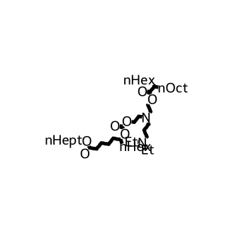 CCCCCCCCC(CCCCCC)C(=O)OCCN(CCCN(CC)CC)CCOC(=O)OC(CCCCCC)CCCCC(=O)OCCCCCCC